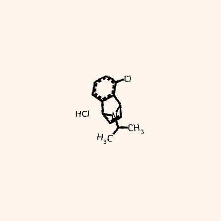 CC(C)N1C2C=CC1c1c(Cl)cccc12.Cl